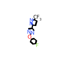 Fc1ccc(Oc2ncc(-c3ccc(C(F)(F)F)nn3)cn2)cc1